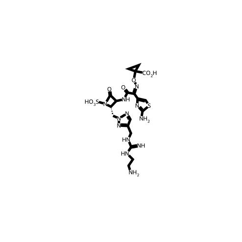 N=C(NCCN)NCc1cnn(C[C@H]2C(NC(=O)/C(=N\OC3(C(=O)O)CC3)c3csc(N)n3)C(=O)N2S(=O)(=O)O)n1